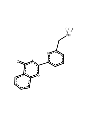 O=C(O)NCc1cccc(-c2nc(=O)c3ccccc3s2)n1